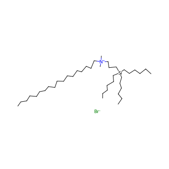 CCCCCCCCCCCCCCCCCC[N+](C)(C)CCC[Si](CCCCCC)(CCCCCC)CCCCCC.[Br-]